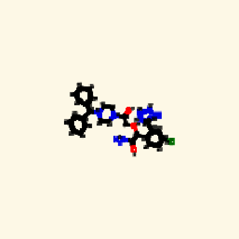 NC(=O)C(OCC(=O)N1CCN(C(c2ccccc2)c2ccccc2)CC1)c1ccc(Cl)cc1-c1nnn[nH]1